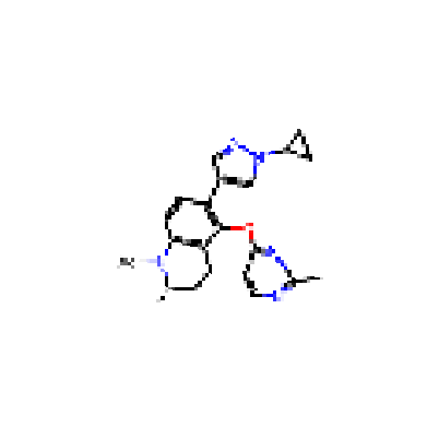 CC(=O)N1c2ccc(-c3cnn(C4CC4)c3)c(Oc3ccnc(C)n3)c2CC[C@@H]1C